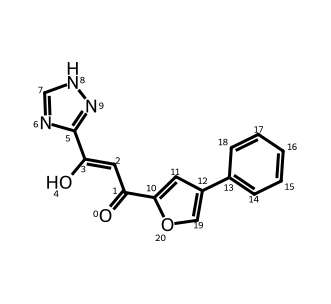 O=C(C=C(O)c1nc[nH]n1)c1cc(-c2ccccc2)co1